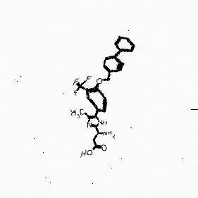 Cc1nc(C(N)CC(=O)O)[nH]c1-c1ccc(OCc2ccc(-c3ccccc3)cc2)c(C(F)(F)F)c1